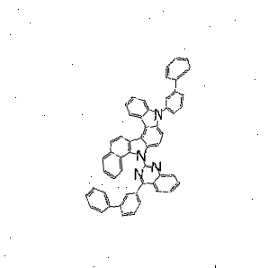 c1ccc(-c2cccc(-c3nc(-n4c5ccc6c(c7ccccc7n6-c6cccc(-c7ccccc7)c6)c5c5ccc6ccccc6c54)nc4ccccc34)c2)cc1